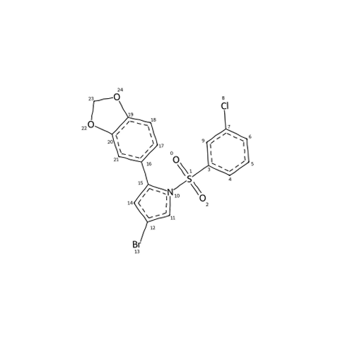 O=S(=O)(c1cccc(Cl)c1)n1cc(Br)cc1-c1ccc2c(c1)OCO2